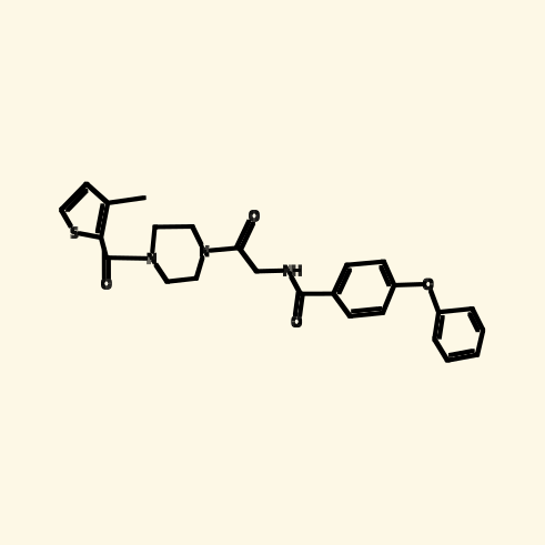 Cc1ccsc1C(=O)N1CCN(C(=O)CNC(=O)c2ccc(Oc3ccccc3)cc2)CC1